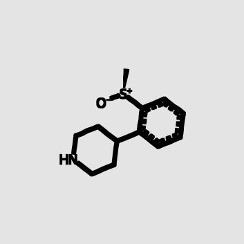 C[S@+]([O-])c1ccccc1C1CCNCC1